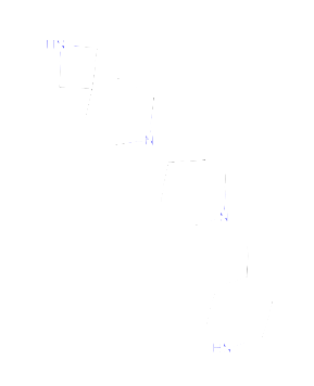 C1CC(CN2CCC(N3CCC4(CC3)CNC4)CC2)CCN1